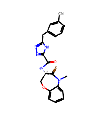 CN1C(=S)[C@@H](NC(=O)c2nnc(Cc3cccc(C#N)c3)[nH]2)COc2ccccc21